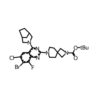 CC(C)(C)OC(=O)N1CC2(CCN(c3nc(N4CC5CCC(C5)C4)c4cc(Cl)c(Br)c(F)c4n3)CC2)C1